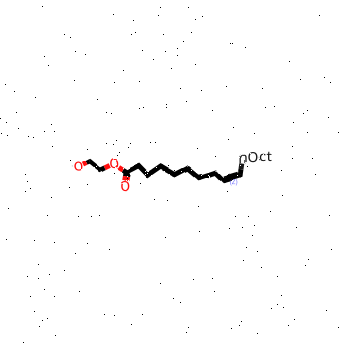 CCCCCCCC/C=C\CCCCCCCC(=O)OCC[O]